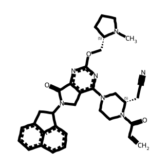 C=CC(=O)N1CCN(c2nc(OC[C@@H]3CCCN3C)nc3c2CN(C2Cc4cccc5cccc2c45)C3=O)C[C@@H]1CC#N